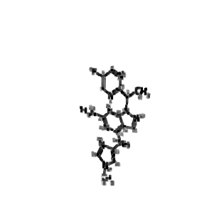 CC(c1ncc(F)cn1)n1ncc2c(Nc3cn(C)cn3)nc(N)nc21